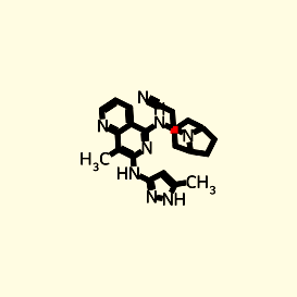 Cc1cc(Nc2nc(NC3CC4CCC(C3)N4CCC#N)c3cccnc3c2C)n[nH]1